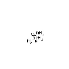 [Cu].[InH3].[SeH2].[TeH2]